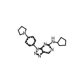 c1cc(-n2nnc3cnc(NC4CCCC4)nc32)ccc1N1CCCC1